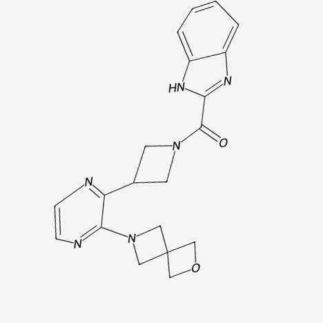 O=C(c1nc2ccccc2[nH]1)N1CC(c2nccnc2N2CC3(COC3)C2)C1